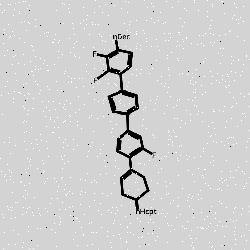 CCCCCCCCCCc1ccc(-c2ccc(-c3ccc(C4=CCC(CCCCCCC)CC4)c(F)c3)cc2)c(F)c1F